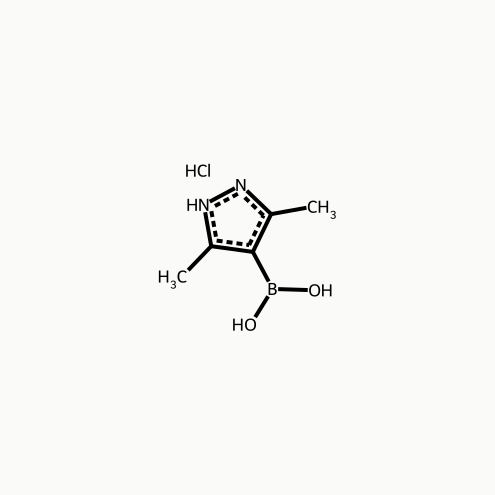 Cc1n[nH]c(C)c1B(O)O.Cl